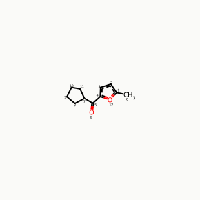 Cc1ccc(C(=O)C2CCCC2)o1